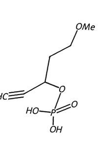 C#CC(CCOC)OP(=O)(O)O